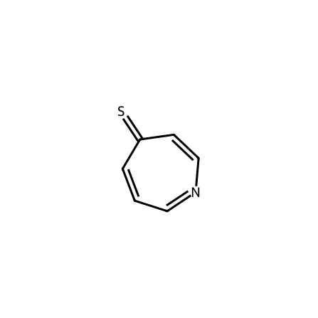 S=c1cccncc1